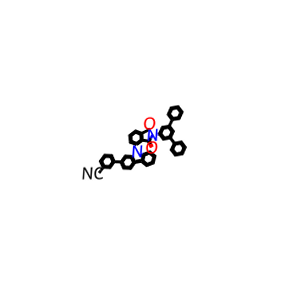 N#Cc1cccc(-c2ccc3c4ccccc4n(-c4cccc5c4C(=O)N(c4cc(-c6ccccc6)cc(-c6ccccc6)c4)C5=O)c3c2)c1